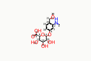 CNc1cc(O[C@@H]2O[C@H](C(=O)O)[C@@H](O)[C@H](O)[C@H]2O)ccc1COC